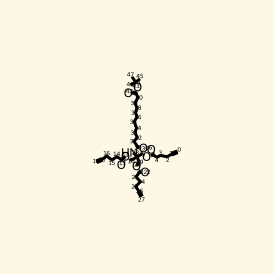 C#CCCCC(=O)OCC(COC(=O)CCCC#C)(COC(=O)CCCC#C)NC(=O)CCCCCCCCCCC(=O)OC(C)(C)C